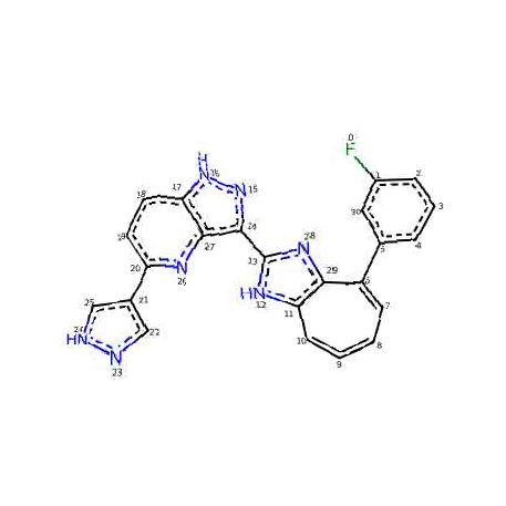 Fc1cccc(C2=CC=C=Cc3[nH]c(-c4n[nH]c5ccc(-c6cn[nH]c6)nc45)nc32)c1